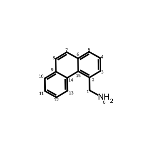 NCc1cccc2ccc3ccccc3c12